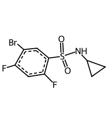 O=S(=O)(NC1CC1)c1cc(Br)c(F)cc1F